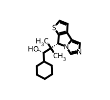 CC(C)([C@@H]1c2sccc2-c2cncn21)[C@@H](O)C1CCCCC1